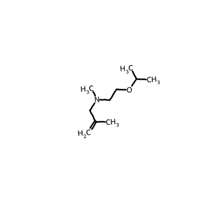 C=C(C)CN(C)CCOC(C)C